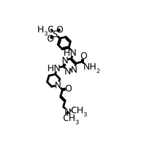 CN(C)CC=CC(=O)N1CCCC(Nc2nnc(C(N)=O)c(Nc3ccc(S(C)(=O)=O)cc3)n2)C1